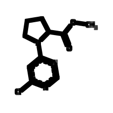 COC(=O)C1CCCN1c1cc(Cl)ncn1